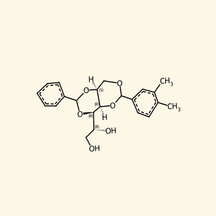 Cc1ccc(C2OC[C@@H]3OC(c4ccccc4)O[C@H]([C@H](O)CO)[C@@H]3O2)cc1C